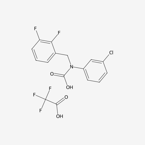 O=C(O)C(F)(F)F.O=C(O)N(Cc1cccc(F)c1F)c1cccc(Cl)c1